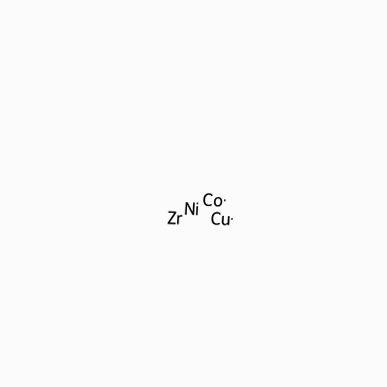 [Co].[Cu].[Ni].[Zr]